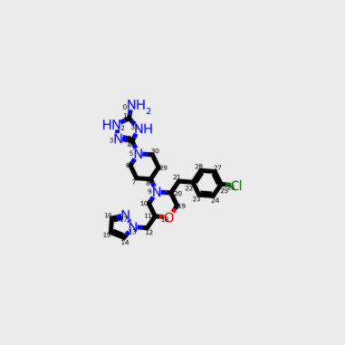 NC1NN=C(N2CCC(N3CC(Cn4cccn4)OCC3Cc3ccc(Cl)cc3)CC2)N1